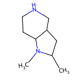 CC1CC2CNCCC2N1C